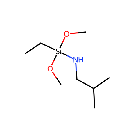 CC[Si](NCC(C)C)(OC)OC